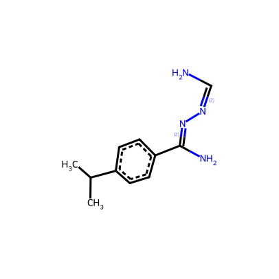 CC(C)c1ccc(/C(N)=N/N=C\N)cc1